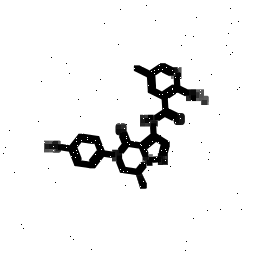 Cc1cnc(N)c(C(=O)Nc2cnn3c2C(=O)N(c2ccc(S)cc2)C[C@@H]3C)c1